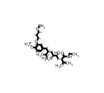 CCNC(=O)[C@@H](C[C@H](O)[C@@H](N)C[C@H](Cc1ccc(OC)c(OCCCOC)c1)C(C)C)C(C)C